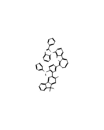 Cc1cc2c(cc1-c1cc(C3=c4oc5c(-n6c(-c7ccccc7)nc7ccccc76)cccc5c4=CC=CC3)ccc1N(C)c1ccccc1)-c1ccccc1C2(C)C